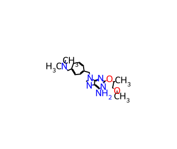 COCC(C)Oc1nc(N)c2ncn(CC3=CC=C(CN(C)C)CC=C3)c2n1